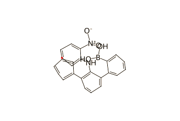 O=[N+]([O-])c1ccccc1Nc1c(-c2ccccc2)cccc1-c1ccccc1B(O)O